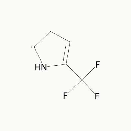 FC(F)(F)C1=CC[CH]N1